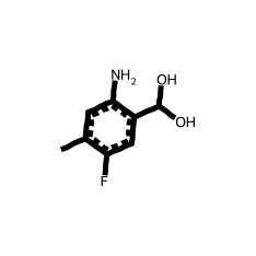 Cc1cc(N)c(C(O)O)cc1F